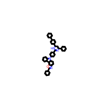 C1=C(c2ccccc2)N=C(c2ccc(-n3c4ccccc4c4c5oc(-c6ccccc6)nc5ccc43)cc2)NC1c1ccc(-c2ccccc2)cc1